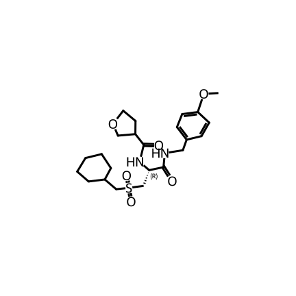 COc1ccc(CNC(=O)[C@H](CS(=O)(=O)CC2CCCCC2)NC(=O)C2CCOC2)cc1